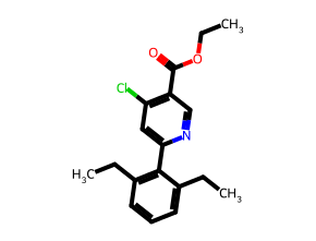 CCOC(=O)c1cnc(-c2c(CC)cccc2CC)cc1Cl